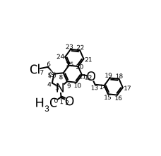 CC(=O)N1C[C@@H](CCl)c2c1cc(OCc1ccccc1)c1ccccc21